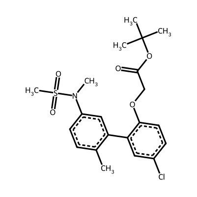 Cc1ccc(N(C)S(C)(=O)=O)cc1-c1cc(Cl)ccc1OCC(=O)OC(C)(C)C